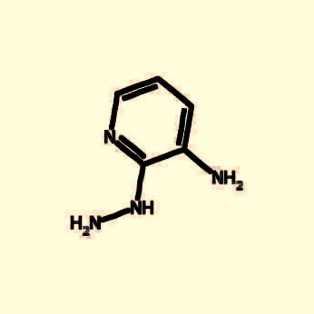 NNc1ncccc1N